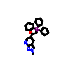 Cn1cc2cc(C(=O)C=P(c3ccccc3)(c3ccccc3)c3ccccc3)cnc2n1